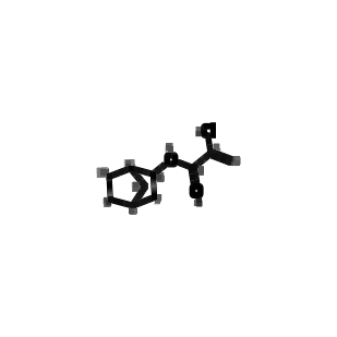 C=C(Cl)C(=O)OC1CC2CCC1C2